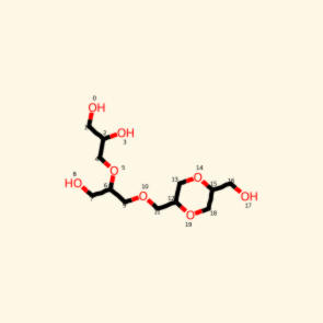 OCC(O)COC(CO)COCC1COC(CO)CO1